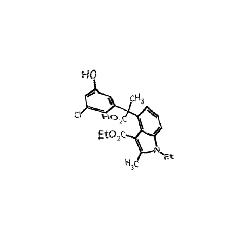 CCOC(=O)c1c(C)n(CC)c2cccc(C(C)(C(=O)O)c3cc(O)cc(Cl)c3)c12